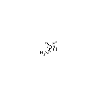 CO[SiH3].FCl